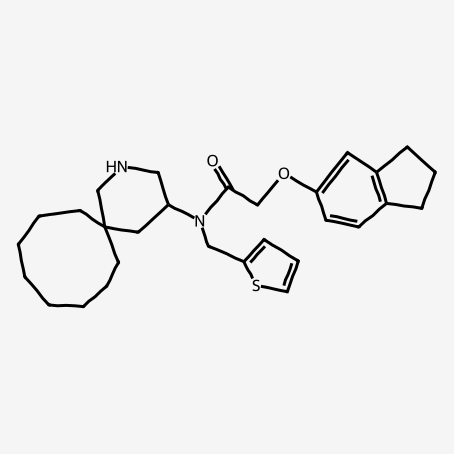 O=C(COc1ccc2c(c1)CCC2)N(Cc1cccs1)C1CNCC2(CCCCCCCC2)C1